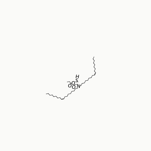 CCCCCCCC/C=C\CCCCCCCCN(CCCCCCCC/C=C\CCCCCCCC)[C@@H](CS)C(=O)OC(=O)CC